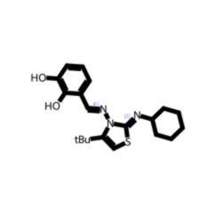 CC(C)(C)c1cs/c(=N\C2CCCCC2)n1/N=C/c1cccc(O)c1O